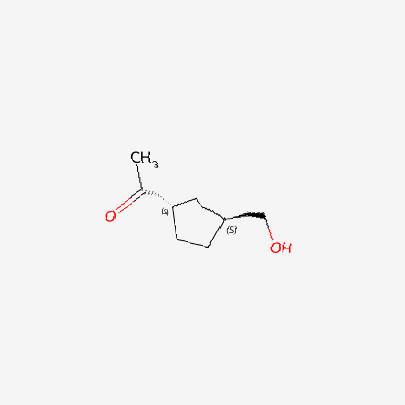 CC(=O)[C@H]1CC[C@H](CO)C1